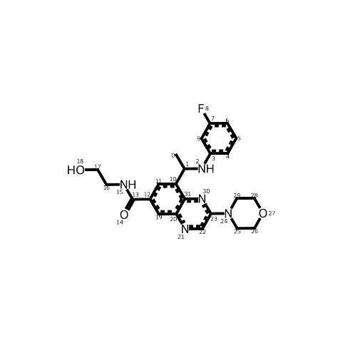 CC(Nc1cccc(F)c1)c1cc(C(=O)NCCO)cc2ncc(N3CCOCC3)nc12